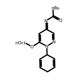 CCCCCCCCOc1cc(=NC(=O)CCCC)cnn1C1C=CCC=C1